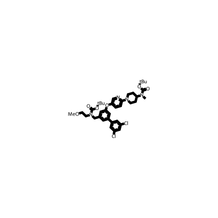 COCCN(Cc1cc(Oc2ccc(N3CCC(N(C)C(=O)OC(C)(C)C)CC3)nc2)cc(-c2cc(Cl)cc(Cl)c2)c1)C(=O)OC(C)(C)C